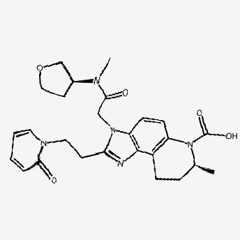 C[C@H]1CCc2c(ccc3c2nc(CCn2ccccc2=O)n3CC(=O)N(C)[C@H]2CCOC2)N1C(=O)O